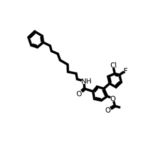 CC(=O)Oc1ccc(C(=O)NCCCCCCCCc2ccccc2)cc1-c1ccc(F)c(Cl)c1